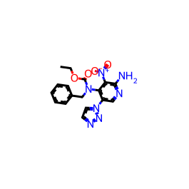 CCOC(=O)N(Cc1ccccc1)c1c(-n2ccnn2)cnc(N)c1[N+](=O)[O-]